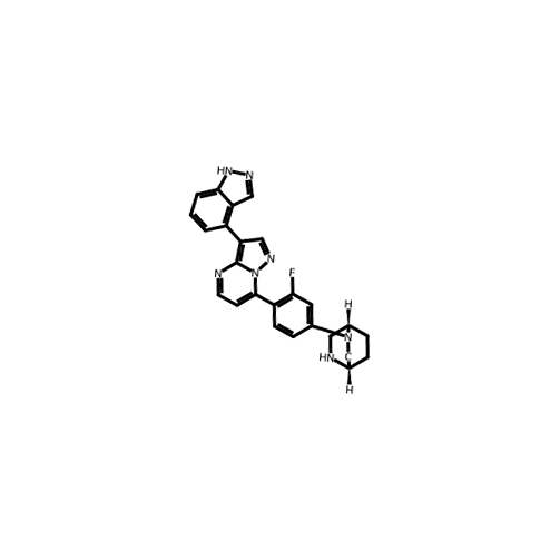 Fc1cc(N2C[C@@H]3CC[C@H]2CN3)ccc1-c1ccnc2c(-c3cccc4[nH]ncc34)cnn12